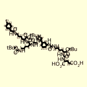 CC(C)(C)OC(=O)NCCCCC(NC(=O)Cn1nncc1-c1cccc(NC(=O)NCCCCC(NC(=O)NC(CCC(=O)O)C(=O)O)C(=O)OC(C)(C)C)c1)C(=O)NC(CCCCNC(=O)Cc1ccc(I)cc1)C(=O)OC(C)(C)C